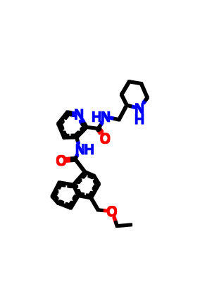 CCOCc1ccc(C(=O)Nc2cccnc2C(=O)NCC2CCCCN2)c2ccccc12